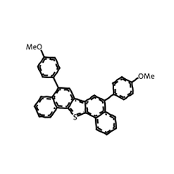 COc1ccc(-c2cc3c4cc(-c5ccc(OC)cc5)c5ccccc5c4sc3c3ccccc23)cc1